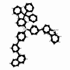 c1ccc(C2(c3ccccc3)c3ccccc3-c3ccc(N(c4ccc(-c5cccc(-c6cccc7ccccc67)c5)cc4)c4ccc(-c5ccc6sc7ccccc7c6c5)cc4)cc32)cc1